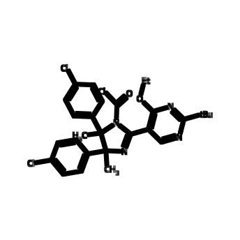 CCOc1nc(C(C)(C)C)ncc1C1=NC(C)(c2ccc(Cl)cc2)C(C)(c2ccc(Cl)cc2)N1C(=O)Cl